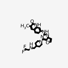 Cc1cc2ccc(Nc3nc(N4CCC(CNCC(F)F)CC4)c4occc4n3)cc2[nH]c1=O